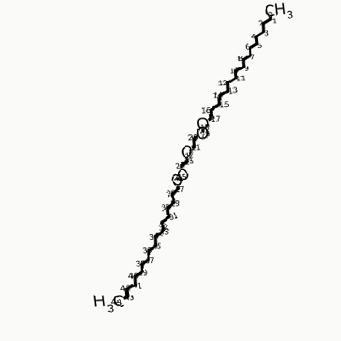 CCCCCCCCCCCCCCCCCCOOCCOCCOOCCCCCCCCCCCCCCCCCC